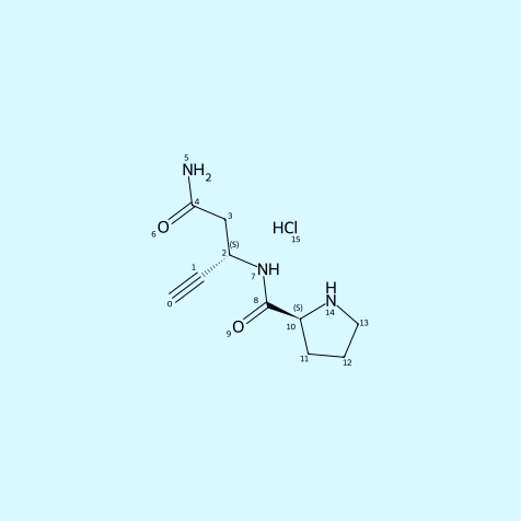 C#C[C@H](CC(N)=O)NC(=O)[C@@H]1CCCN1.Cl